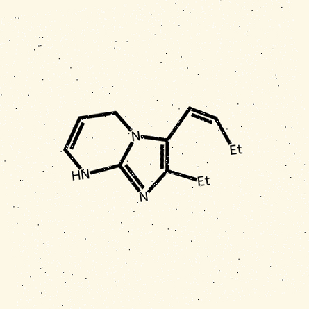 CC/C=C\c1c(CC)nc2n1CC=CN2